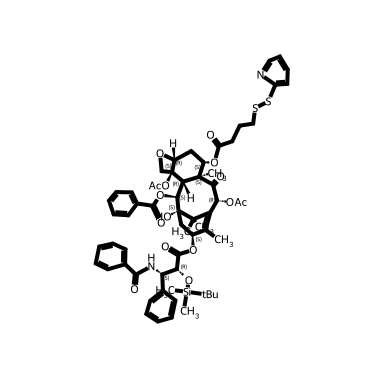 CC(=O)O[C@H]1C(=O)[C@]2(C)[C@@H](OC(=O)CCCSSc3ccccn3)C[C@H]3OC[C@@]3(OC(C)=O)[C@H]2[C@H](OC(=O)c2ccccc2)[C@]2(O)C[C@H](OC(=O)[C@H](O[Si](C)(C)C(C)(C)C)[C@@H](NC(=O)c3ccccc3)c3ccccc3)C(C)=C1C2(C)C